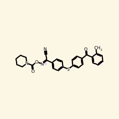 Cc1ccccc1C(=O)c1ccc(Sc2ccc(/C(C#N)=N/OC(=O)N3CCCCC3)cc2)cc1